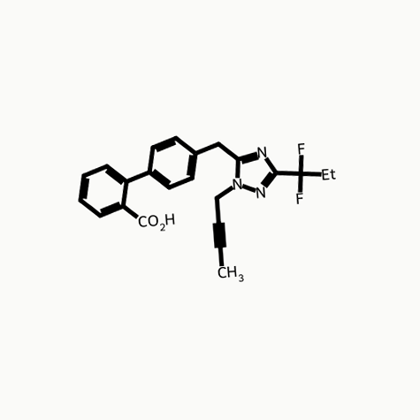 CC#CCn1nc(C(F)(F)CC)nc1Cc1ccc(-c2ccccc2C(=O)O)cc1